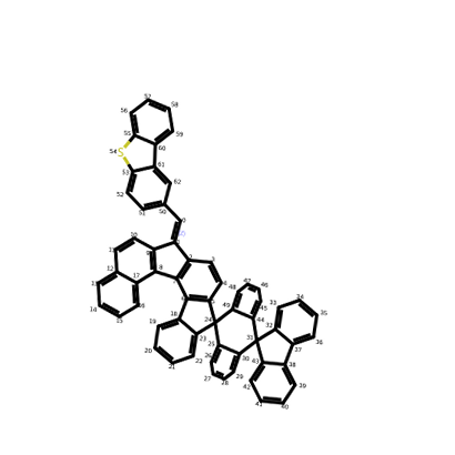 C(=C1\c2ccc3c(c2-c2c1ccc1ccccc21)-c1ccccc1C31c2ccccc2C2(c3ccccc3-c3ccccc32)c2ccccc21)/c1ccc2sc3ccccc3c2c1